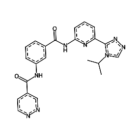 CC(C)n1cnnc1-c1cccc(NC(=O)c2cccc(NC(=O)c3ccnnc3)c2)n1